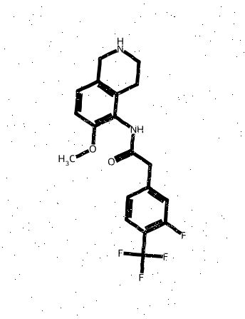 COc1ccc2c(c1NC(=O)Cc1ccc(C(F)(F)F)c(F)c1)CCNC2